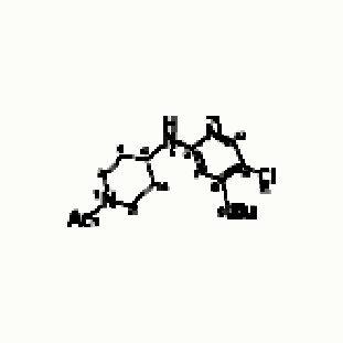 CC(=O)N1CCC(Nc2cc(C(C)(C)C)c(Cl)cn2)CC1